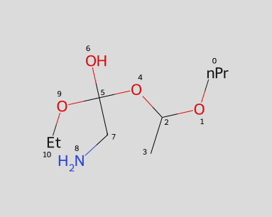 CCCOC(C)OC(O)(CN)OCC